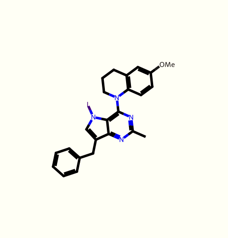 COc1ccc2c(c1)CCCN2c1nc(C)nc2c(Cc3ccccc3)cn(I)c12